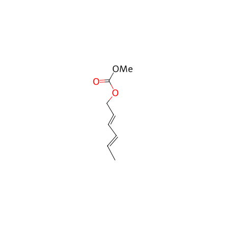 C/C=C/C=C/COC(=O)OC